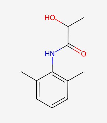 Cc1cccc(C)c1NC(=O)C(C)O